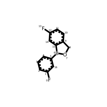 Fc1cccc(B2OCc3ccc(F)cc32)c1